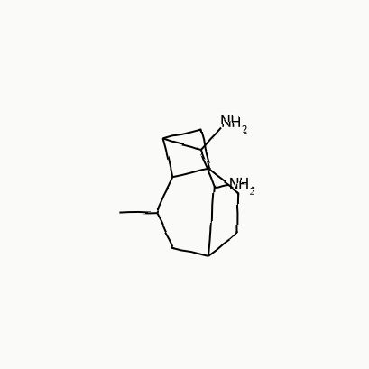 CC1CC2CCC3CC(C(N)C2N)C13